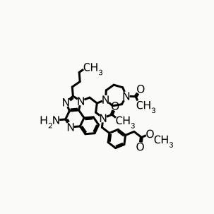 CCCCc1nc2c(N)nc3ccccc3c2n1CC(CN(Cc1cccc(CC(=O)OC)c1)C(C)=O)N1CCCN(C(C)=O)CC1